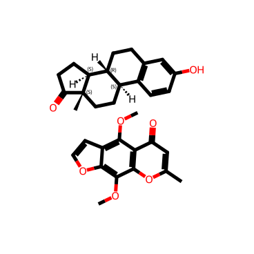 COc1c2occc2c(OC)c2c(=O)cc(C)oc12.C[C@]12CC[C@@H]3c4ccc(O)cc4CC[C@H]3[C@@H]1CCC2=O